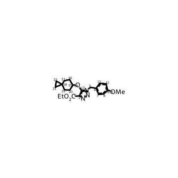 CCOC(=O)c1nnn(Cc2ccc(OC)cc2)c1OC1CCC2(CC1)CC2